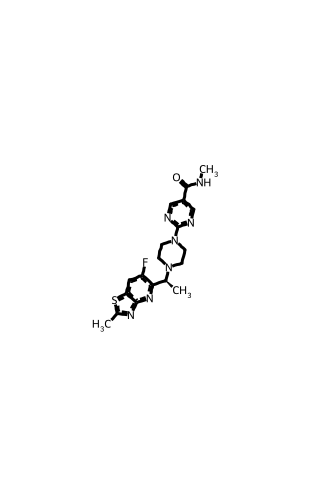 CNC(=O)c1cnc(N2CCN([C@@H](C)c3nc4nc(C)sc4cc3F)CC2)nc1